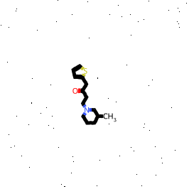 CC1CCCN(CCC(=O)Cc2cccs2)C1